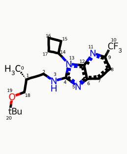 C[C@H](CNc1nc2ccc(C(F)(F)F)nc2n1C1CCC1)COC(C)(C)C